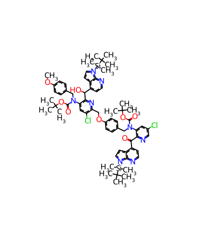 COc1ccc(CN(C(=O)OC(C)(C)C)c2cc(Cl)c(COc3ccc(CN(C(=O)OC(C)(C)C)c4cc(Cl)cnc4C(=O)c4ccnc5c4ccn5[Si](C)(C)C(C)(C)C)cc3)nc2C(O)c2ccnc3c2ccn3[Si](C)(C)C(C)(C)C)cc1